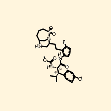 COC(=O)N[C@H](C(=O)Nc1cccc(F)c1CCC1CNC2CCCS(=O)(=O)N1C2)[C@@H](c1ccc(Cl)cc1)C(C)C